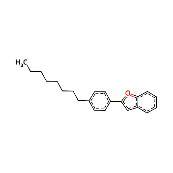 CCCCCCCCc1ccc(-c2cc3ccccc3o2)cc1